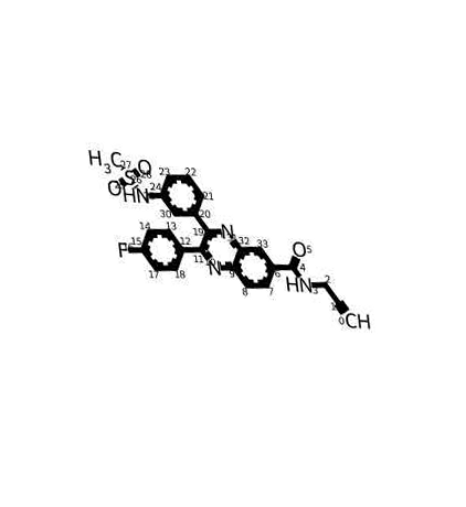 C#CCNC(=O)c1ccc2nc(-c3ccc(F)cc3)c(-c3cccc(NS(C)(=O)=O)c3)nc2c1